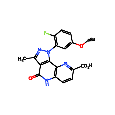 CCCCOc1ccc(F)c(-n2nc(C)c3c(=O)[nH]c4ccc(C(=O)O)nc4c32)c1